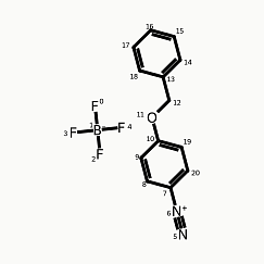 F[B-](F)(F)F.N#[N+]c1ccc(OCc2ccccc2)cc1